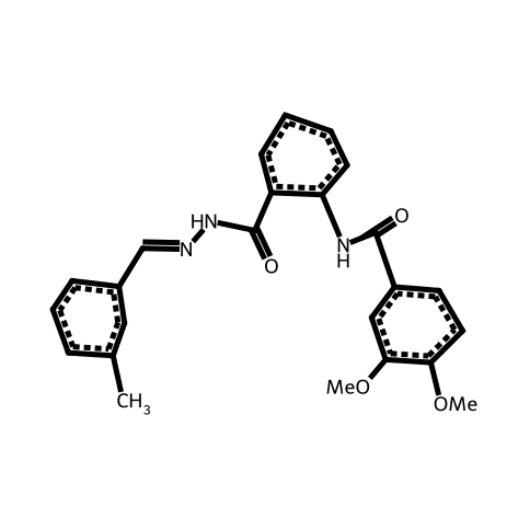 COc1ccc(C(=O)Nc2ccccc2C(=O)NN=Cc2cccc(C)c2)cc1OC